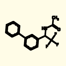 CC(=O)NC(c1cccc(-c2ccccc2)c1)C(F)(F)F